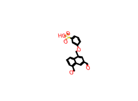 O=Cc1cc(COc2cccc(S(=O)(=O)O)c2)c2cccc(C=O)c2c1